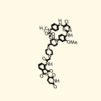 COc1cc(N2CCC(CN3CCN(CC(=O)Nc4cccc5c4C(=O)N(C4CCC(=O)NC4=O)C5=O)CC3)CC2)ccc1Nc1ncc(Cl)c(Nc2ccc(N(C)S(C)(=O)=O)cc2)n1